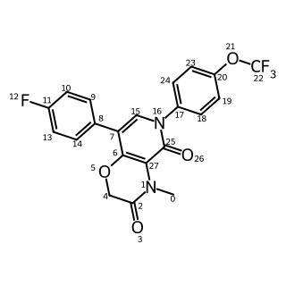 CN1C(=O)COc2c(-c3ccc(F)cc3)cn(-c3ccc(OC(F)(F)F)cc3)c(=O)c21